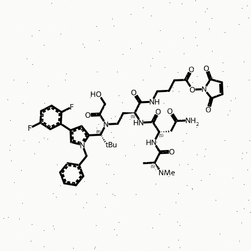 CN[C@@H](C)C(=O)N[C@@H](CC(N)=O)C(=O)N[C@@H](CCN(C(=O)CO)[C@@H](c1cc(-c2cc(F)ccc2F)cn1Cc1ccccc1)C(C)(C)C)C(=O)NCCCC(=O)ON1C(=O)C=CC1=O